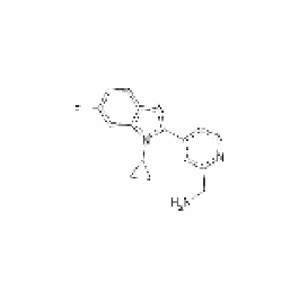 NCc1cc(-c2nc3ccc(F)cc3n2C2CC2)cnn1